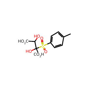 Cc1ccc(S(=O)(=O)C(O)(C(=O)O)C(O)C(=O)O)cc1